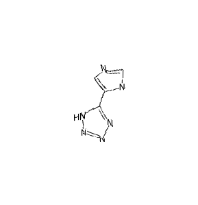 C1=NC=C(c2nnn[nH]2)[N]1